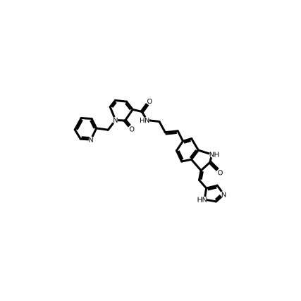 O=C1Nc2cc(/C=C/CNC(=O)c3cccn(Cc4ccccn4)c3=O)ccc2C1=Cc1cnc[nH]1